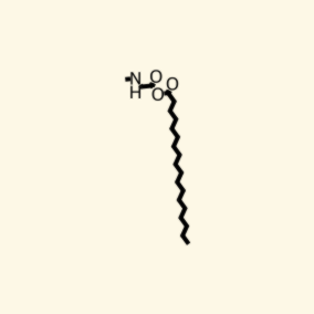 CCCCCCCCCCCCCCCCCC(=O)OC(=O)CNC